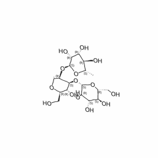 C[C@@H]1O[C@@H](O[C@@H]2[CH]O[C@H](CO)[C@@H](O)[C@@H]2O[C@@H]2O[C@H](CO)[C@@H](O)[C@H](O)[C@H]2O)[C@H](O)[C@H](O)[C@H]1O